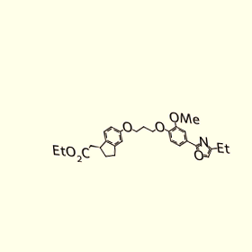 CCOC(=O)C[C@@H]1CCc2cc(OCCCOc3ccc(-c4nc(CC)co4)cc3OC)ccc21